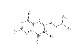 Cc1cc(Br)c2nc(OCC(C)C)n(C)c(=O)c2c1